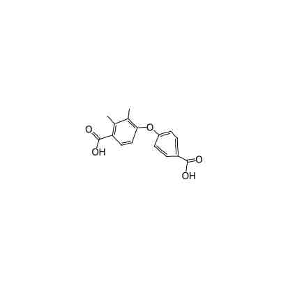 Cc1c(Oc2ccc(C(=O)O)cc2)ccc(C(=O)O)c1C